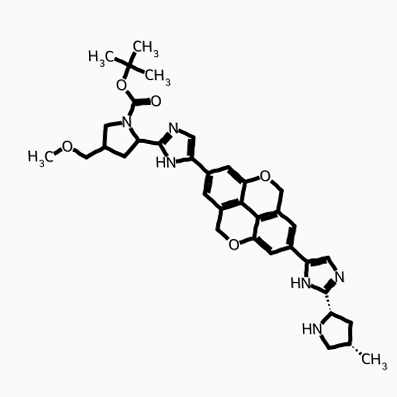 COCC1CC(c2ncc(-c3cc4c5c(c3)OCc3cc(-c6cnc([C@@H]7C[C@H](C)CN7)[nH]6)cc(c3-5)OC4)[nH]2)N(C(=O)OC(C)(C)C)C1